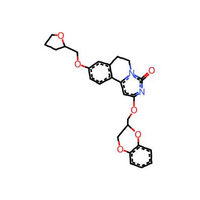 O=c1nc(OCC2COc3ccccc3O2)cc2n1CCc1cc(OCC3CCCO3)ccc1-2